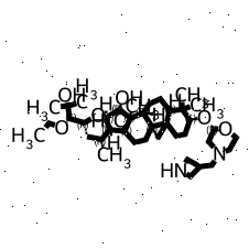 CCO[C@@H]([C@H]1C[C@@H](C)[C@H]2[C@H](O1)[C@H](O)[C@@]1(C)[C@@H]3CC[C@H]4C(C)(C)[C@@H](O[C@H]5CN(CC6CNC6)CCO5)CCC45C[C@@]35CC[C@]21C)C(C)(C)O